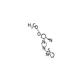 COCCOc1ccc(C#N)c(N2CCN(Cc3nc4ccccc4s3)CC2)c1